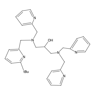 CC(C)(C)c1cccc(CN(Cc2ccccn2)CC(O)CN(Cc2ccccn2)Cc2ccccn2)n1